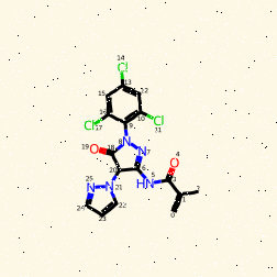 C=C(C)C(=O)NC1=NN(c2c(Cl)cc(Cl)cc2Cl)C(=O)C1n1cccn1